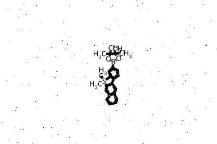 CC1(C)OB(c2ccc3c(c2)S(C)(C)c2cc4ccccc4cc2-3)OC1(C)C